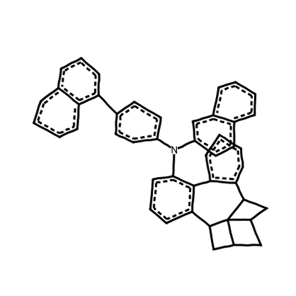 c1ccc2c(c1)-c1c(cccc1N(c1ccc(-c3cccc4ccccc34)cc1)c1ccc3ccccc3c1)C1CC3CC4CC2C431